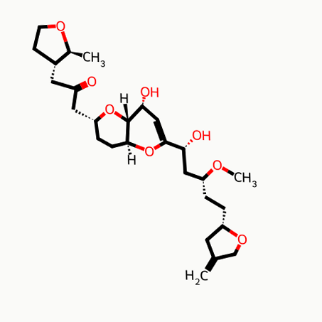 C=C1CO[C@@H](CC[C@H](C[C@@H](O)C2=C[C@@H](O)[C@H]3O[C@@H](CC(=O)C[C@@H]4CCO[C@H]4C)CC[C@@H]3O2)OC)C1